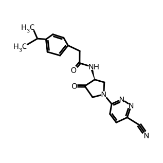 CC(C)c1ccc(CC(=O)N[C@H]2CN(c3ccc(C#N)nn3)CC2=O)cc1